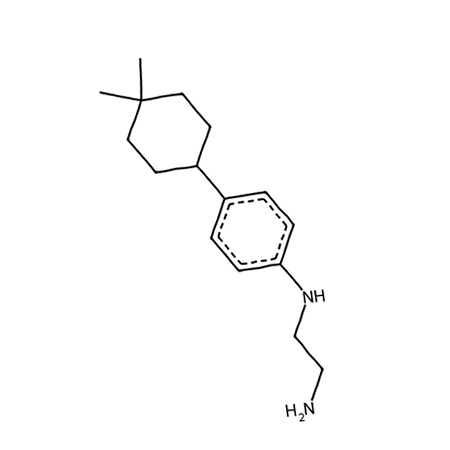 CC1(C)CCC(c2ccc(NCCN)cc2)CC1